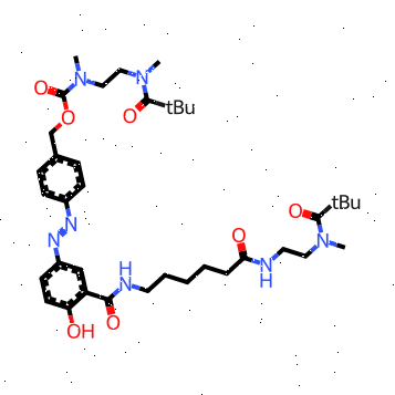 CN(CCN(C)C(=O)C(C)(C)C)C(=O)OCc1ccc(/N=N/c2ccc(O)c(C(=O)NCCCCCC(=O)NCCN(C)C(=O)C(C)(C)C)c2)cc1